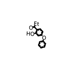 CCC(=O)c1ccc(Oc2ccccc2)cc1O